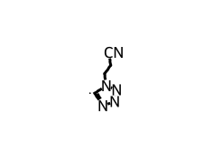 N#CCCn1[c]nnn1